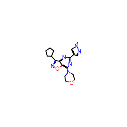 Cn1cc(-c2nc(N3CCOCC3)c3onc(C4CCCC4)c3n2)cn1